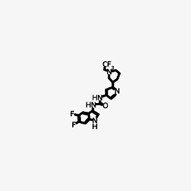 O=C(Nc1ccnc(C2CCCN(CC(F)(F)F)C2)c1)Nc1c[nH]c2cc(F)c(F)cc12